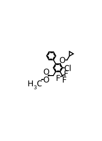 CCOC(=O)Cc1cc(-c2ccccc2)c(OCC2CC2)c(Cl)c1C(F)(F)F